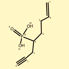 C#CCC(CCC=C)P(=O)(O)O